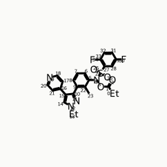 CCC(=O)ON(c1cccc(-c2nn(CC)cc2-c2ccncc2)c1C)S(=O)(=O)c1cc(F)ccc1F